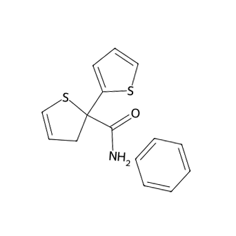 NC(=O)C1(c2cccs2)CC=CS1.c1ccccc1